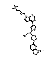 C[Si](C)(C)CCOCn1ccc2c(-c3cnn(C(CC#N)C4CCN(c5ccc6c(n5)[S+]([O-])CC6)C4)c3)ncnc21